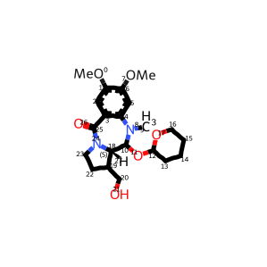 COc1cc2c(cc1OC)N(C)C(OC1CCCCO1)[C@@H]1C(CO)CCN1C2=O